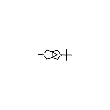 CN1CC23CN(C(C)(C)C)CC2(C1)C3